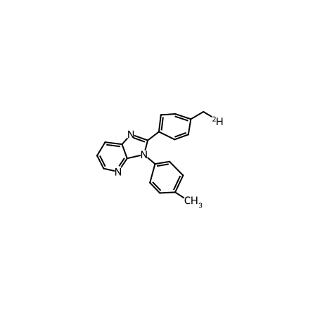 [2H]Cc1ccc(-c2nc3cccnc3n2-c2ccc(C)cc2)cc1